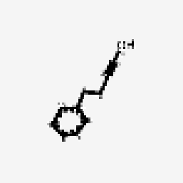 OC#CCCc1ccccc1